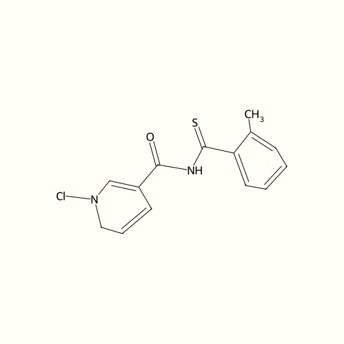 Cc1ccccc1C(=S)NC(=O)C1=CN(Cl)CC=C1